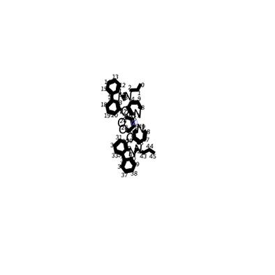 CCCN(c1ccncc1)n1c2ccccc2c2cccc(OC(=O)/C=C\C(=O)Oc3cccc4c5ccccc5n(N(CCC)c5ccncc5)c34)c21